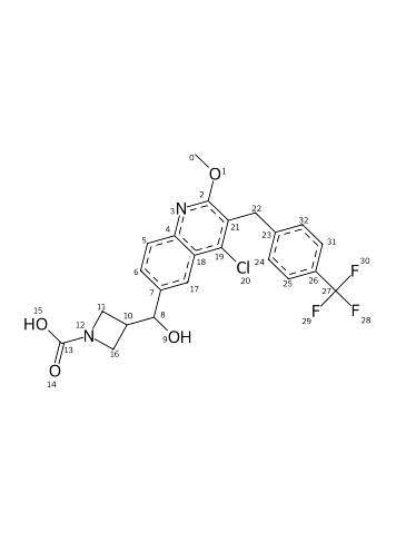 COc1nc2ccc(C(O)C3CN(C(=O)O)C3)cc2c(Cl)c1Cc1ccc(C(F)(F)F)cc1